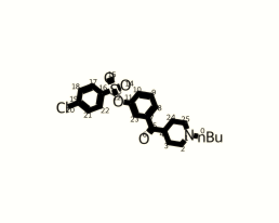 CCCCN1CCC(C(=O)c2cccc(OS(=O)(=O)c3ccc(Cl)cc3)c2)CC1